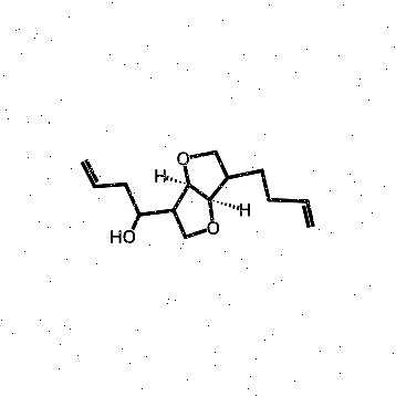 C=CCCC1CO[C@@H]2C(C(O)CC=C)CO[C@H]12